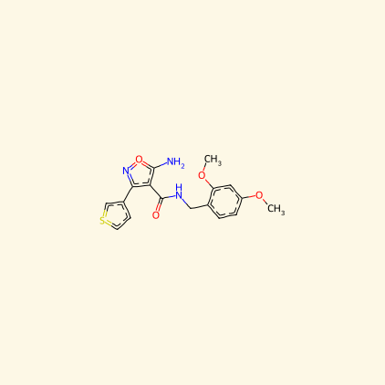 COc1ccc(CNC(=O)c2c(-c3ccsc3)noc2N)c(OC)c1